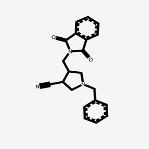 N#CC1CN(Cc2ccccc2)CC1CN1C(=O)c2ccccc2C1=O